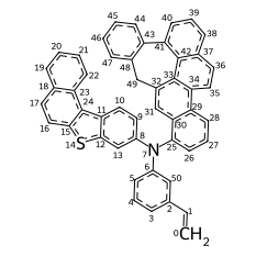 C=Cc1cccc(N(c2ccc3c(c2)sc2ccc4ccccc4c23)c2cccc3c2cc2c4c3ccc3cccc(c34)-c3ccccc3C2)c1